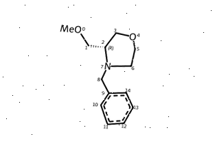 COC[C@@H]1COCCN1Cc1ccccc1